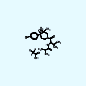 CC(N)C(=O)NC(C(=O)N1CCC(O)(c2ccc(Cl)cc2)C(C)(C)C1)C(C)C.O=C(O)C(F)(F)F